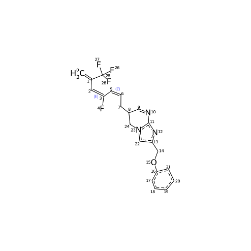 C=C(/C=C(F)\C=C/CC1C=Nc2nc(COc3ccccc3)cn2C1)C(F)(F)F